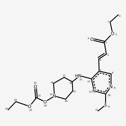 CCOC(=O)C=Cc1cnc(SC)nc1NC1CCN(OC(=O)OCC)CC1